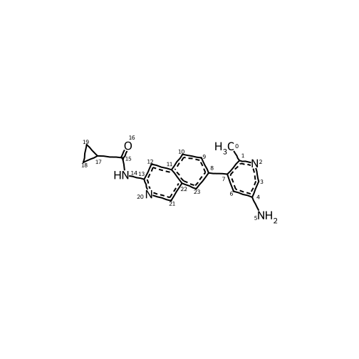 Cc1ncc(N)cc1-c1ccc2cc(NC(=O)C3CC3)ncc2c1